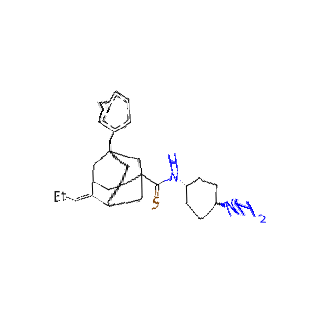 CCC=C1C2CC3(C(=S)N[C@H]4CC[C@H](N)CC4)CC1CC(c1ccccc1)(C2)C3